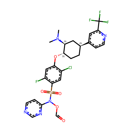 CN(C)[C@H]1C[C@@H](c2ccnc(C(F)(F)F)c2)CC[C@@H]1Oc1cc(F)c(S(=O)(=O)N(OC=O)c2ccncn2)cc1Cl